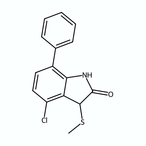 CSC1C(=O)Nc2c(-c3ccccc3)ccc(Cl)c21